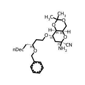 CCCCCCCCCCC[C@H](CCO[C@H]1C[C@@](N)(C#N)O[C@@H]2COC(C)(C)O[C@H]12)OCc1ccccc1